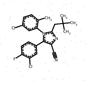 Cc1ccc(Cl)cc1-n1c(CC(C)(C)C)nc(C#N)c1-c1ccc(F)c(Cl)c1